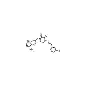 Nc1ncnc2cc(CN3CCN(C/C=C/c4cccc(Cl)c4)C(=O)C3=O)ccc12